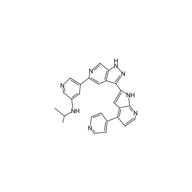 CC(C)Nc1cncc(-c2cc3c(-c4cc5c(-c6ccncc6)ccnc5[nH]4)n[nH]c3cn2)c1